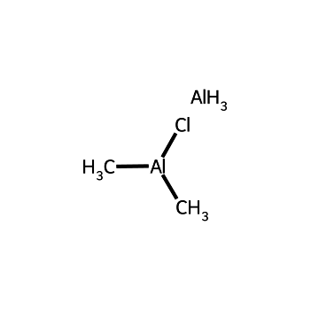 [AlH3].[CH3][Al]([CH3])[Cl]